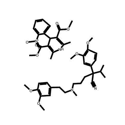 COC(=O)C1=C(C)NC(C)=C(C(=O)OC)C1c1ccccc1[N+](=O)[O-].COc1ccc(CCN(C)CCCC(C#N)(c2ccc(OC)c(OC)c2)C(C)C)cc1OC